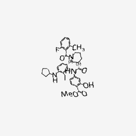 COC(=O)c1ccc(NC(=O)[C@H]2CCCN(C(=O)c3c(C)cccc3F)[C@H]2c2ccc(NC3CCCC3)c(I)c2)cc1O